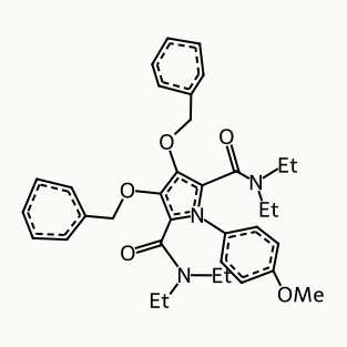 CCN(CC)C(=O)c1c(OCc2ccccc2)c(OCc2ccccc2)c(C(=O)N(CC)CC)n1-c1ccc(OC)cc1